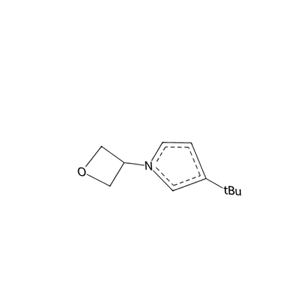 CC(C)(C)c1ccn(C2COC2)c1